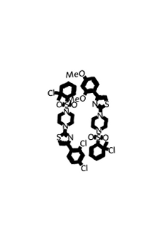 CC1(Cl)C=CC=CC1S(=O)(=O)N1CCN(c2nc(-c3ccc(Cl)cc3Cl)cs2)CC1.COc1ccc(-c2csc(N3CCN(S(=O)(=O)C4C=CC=CC4(C)Cl)CC3)n2)c(OC)c1